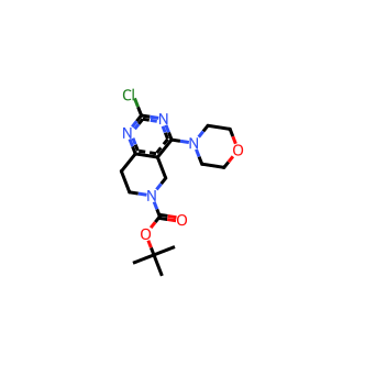 CC(C)(C)OC(=O)N1CCc2nc(Cl)nc(N3CCOCC3)c2C1